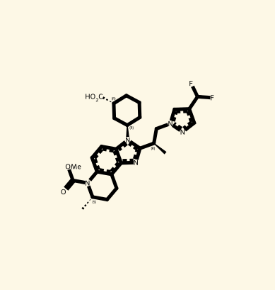 COC(=O)N1c2ccc3c(nc([C@H](C)Cn4cc(C(F)F)cn4)n3[C@@H]3CCC[C@@H](C(=O)O)C3)c2CC[C@@H]1C